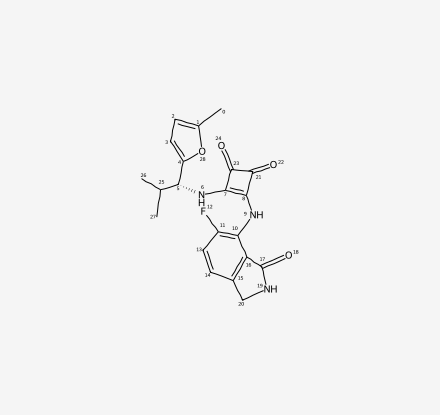 Cc1ccc([C@H](Nc2c(Nc3c(F)ccc4c3C(=O)NC4)c(=O)c2=O)C(C)C)o1